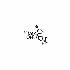 CC(C)(C)OC(=O)N1CC(C)(C(O)(c2ccc(C(F)(F)F)cc2)c2cncc(Br)c2)C1